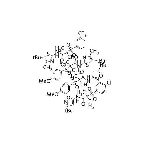 CC(C)(C)c1cc(NC(=O)C(C)(C)S(=O)(=O)c2ccc(Cl)cc2)on1.COc1ccc(S(=O)(=O)C(C)(C)C(=O)Nc2cc(C(C)(C)C)on2)cc1.COc1ccc(S(=O)(=O)C(C)(C)C(=O)Nc2nc(C)c(C(C)(C)C)s2)cc1.Cc1nc(NC(=O)C(C)(C)S(=O)(=O)c2cccc(C(F)(F)F)c2)sc1C(C)(C)C